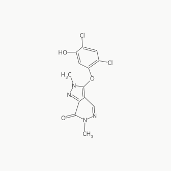 Cn1nc2c(=O)n(C)ncc2c1Oc1cc(O)c(Cl)cc1Cl